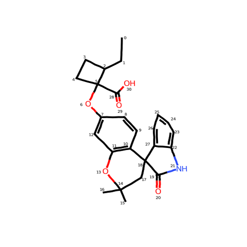 CCC1CCC1(Oc1ccc2c(c1)OC(C)(C)CC21C(=O)Nc2ccccc21)C(=O)O